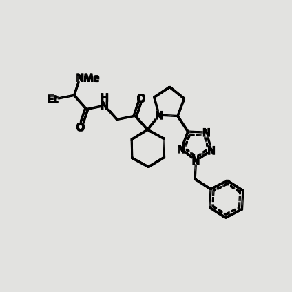 CCC(NC)C(=O)NCC(=O)C1(N2CCCC2c2nnn(Cc3ccccc3)n2)CCCCC1